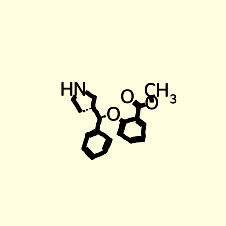 COC(=O)c1ccccc1O[C@H](c1ccccc1)[C@@H]1CCNC1